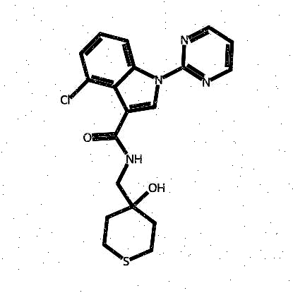 O=C(NCC1(O)CCSCC1)c1cn(-c2ncccn2)c2cccc(Cl)c12